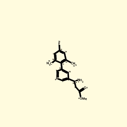 COC(=O)C[C@H](N)c1cncc(-c2c(C)cc(F)cc2C)c1